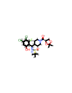 CC1(C)OC[C@H](C(=O)N2CCC(C(N[S+]([O-])C(C)(C)C)c3c(O)cc(Cl)c(Cl)c3F)CC2)O1